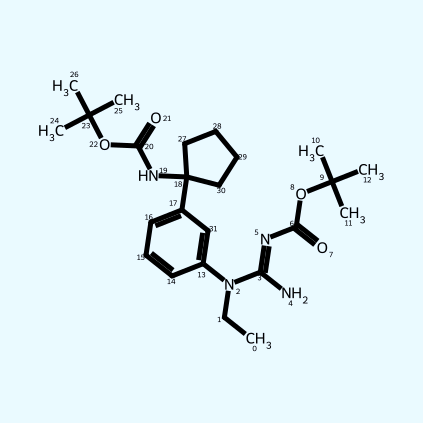 CCN(C(N)=NC(=O)OC(C)(C)C)c1cccc(C2(NC(=O)OC(C)(C)C)CCCC2)c1